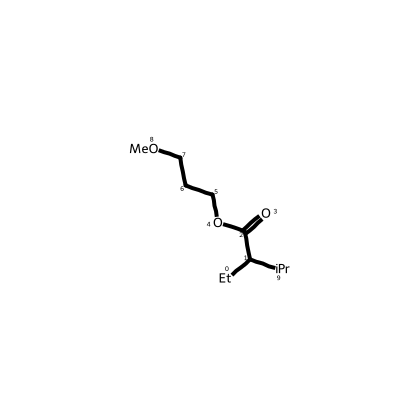 CCC(C(=O)OCCCOC)C(C)C